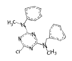 CN(c1ccccc1)c1nc(Cl)nc(N(C)c2ccccc2)n1